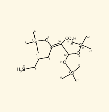 C[Si](C)(C)OC(CCC[SiH3])=C(C(=O)O)C(O[Si](C)(C)C)O[Si](C)(C)C